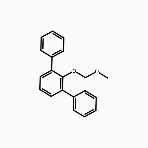 COCOc1c(-c2ccccc2)cccc1-c1ccccc1